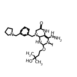 CC(C)(O)CCOC1NC2C(=C(NN)N1I)NC(=O)CN2Cc1cccc(CN2CCCC2)c1